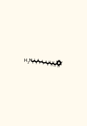 N[CH]CCCCCCCCCCCCc1ccccc1